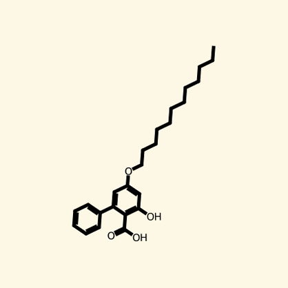 CCCCCCCCCCCCOc1cc(O)c(C(=O)O)c(-c2ccccc2)c1